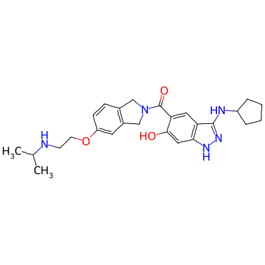 CC(C)NCCOc1ccc2c(c1)CN(C(=O)c1cc3c(NC4CCCC4)n[nH]c3cc1O)C2